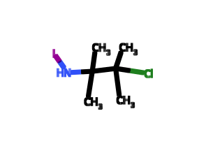 CC(C)(Cl)C(C)(C)NI